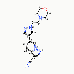 N#Cc1cnn2cc(-c3cnn(CCN4CCOCC4)c3)ccc12